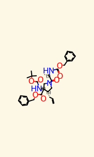 C=CC[C@H]1CN(C(=O)[C@H](C)NC(=O)OCc2ccccc2)C[C@@]1(NC(=O)OC(C)(C)C)C(=O)OCc1ccccc1